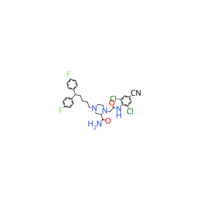 N#Cc1cc(Cl)c(NC(=O)CN2CCN(CCCCC(c3ccc(F)cc3)c3ccc(F)cc3)CC2C(N)=O)c(Cl)c1